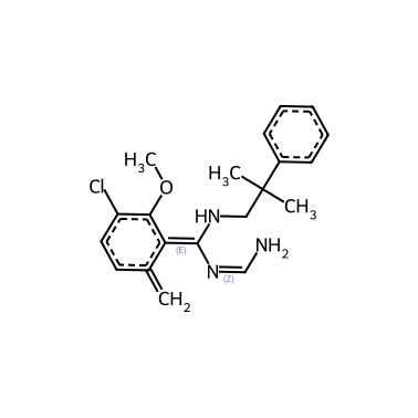 C=c1ccc(Cl)c(OC)/c1=C(/N=C\N)NCC(C)(C)c1ccccc1